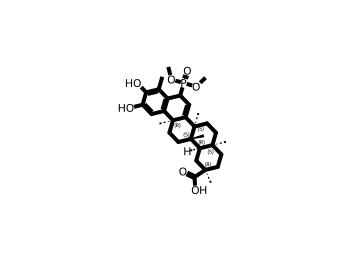 COP(=O)(OC)C1C=C2[C@@](C)(CC[C@@]3(C)[C@@H]4C[C@](C)(C(=O)O)CC[C@]4(C)CC[C@]23C)c2cc(O)c(O)c(C)c21